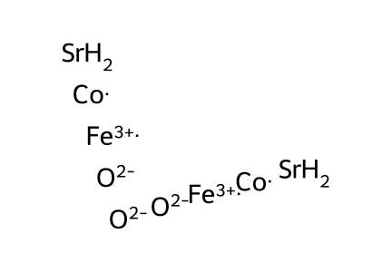 [Co].[Co].[Fe+3].[Fe+3].[O-2].[O-2].[O-2].[SrH2].[SrH2]